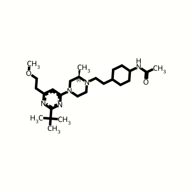 COCCc1cc(N2CCN(CCC3CCC(NC(C)=O)CC3)[C@H](C)C2)nc(C(C)(C)C)n1